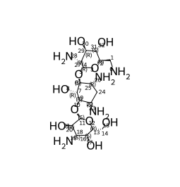 NC[C@H]1O[C@H](O[C@@H]2[C@@H](O)[C@H](O[C@H]3O[C@H](CO)[C@@H](O)[C@H](N)[C@H]3O)[C@@H](N)C[C@H]2N)[C@H](N)[C@@H](O)[C@@H]1O